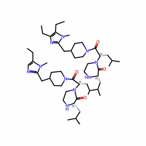 CCc1nc(CC2CCN(C(=O)[C@H](CC(C)C)N3CCN[C@@H](CC(C)C(C)C[C@@H](C(=O)N4CCC(Cc5ncc(CC)n5C)CC4)N4CCN[C@@H](CC(C)C)C4=O)C3=O)CC2)n(C)c1CC